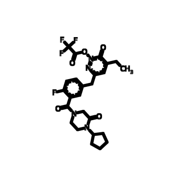 CCc1cc(Cc2ccc(F)c(C(=O)N3CCN(C4CCCC4)C(=O)C3)c2)nn(OC(=O)C(F)(F)F)c1=O